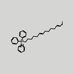 IC=CCCCCC=CCCCCC[PH](c1ccccc1)(c1ccccc1)c1ccccc1